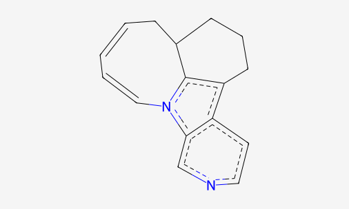 C1=CCC2CCCc3c2n(c2cnccc32)C=C1